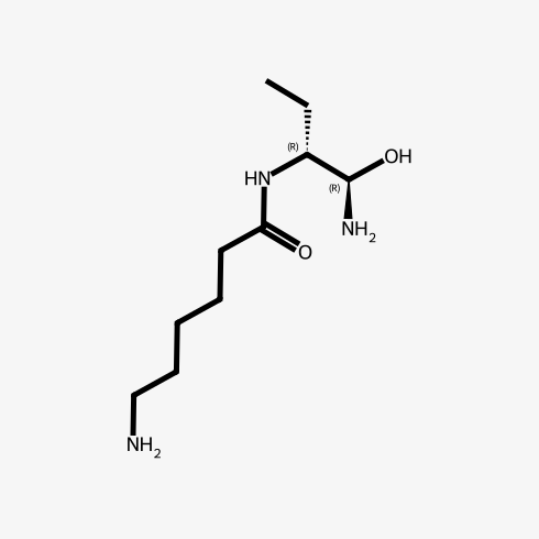 CC[C@@H](NC(=O)CCCCCN)[C@H](N)O